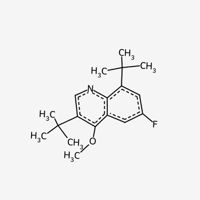 COc1c(C(C)(C)C)cnc2c(C(C)(C)C)cc(F)cc12